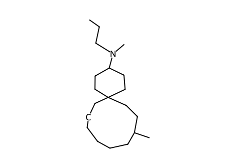 CCCN(C)C1CCC2(CCCCCCC(C)CC2)CC1